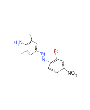 Cc1cc(N=Nc2ccc([N+](=O)[O-])cc2Br)cc(C)c1N